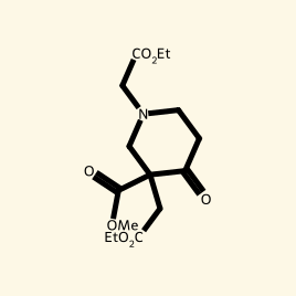 CCOC(=O)CN1CCC(=O)C(CC(=O)OCC)(C(=O)OC)C1